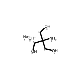 NC(CO)(CO)CO.[Na+].[OH-]